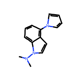 CN(C)n1ccc2c(-n3cccc3)cccc21